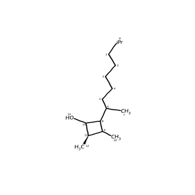 CC(C)CCCCCC(C)C1C(C)[C@@H](C)C1O